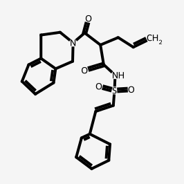 C=CCC(C(=O)NS(=O)(=O)C=Cc1ccccc1)C(=O)N1CCc2ccccc2C1